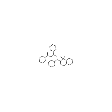 CC(CC(CC(C1CCCCC1)C1CCC2CCCCC2C1(C)C)C1CCCCC1)C1CCCCC1